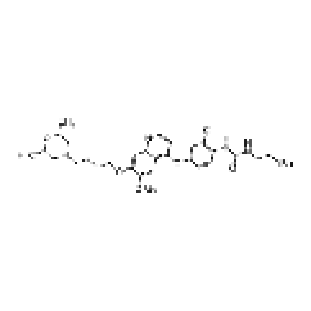 COc1cc2c(Oc3ccc(NC(=O)NCCC(C)(C)C)c(Cl)c3)ccnc2cc1OCCCCN1CC(C)OC(C)C1